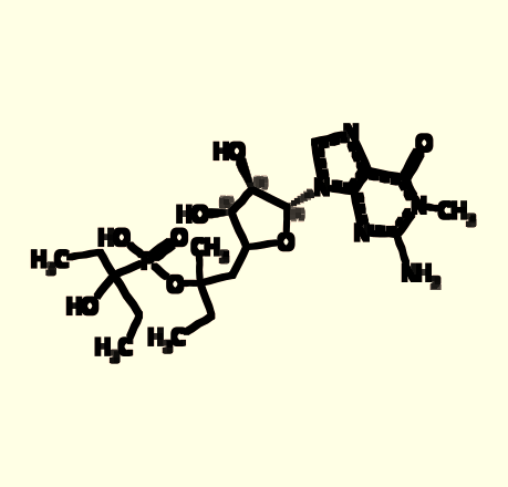 CCC(C)(CC1O[C@@H](n2cnc3c(=O)n(C)c(N)nc32)[C@H](O)[C@@H]1O)OP(=O)(O)C(O)(CC)CC